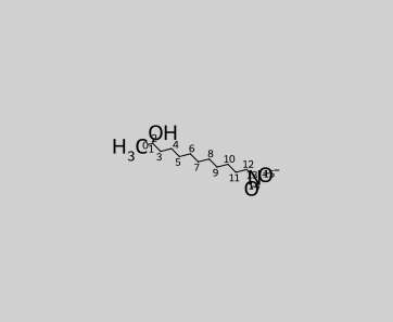 CC(O)CCCCCCCCCC[N+](=O)[O-]